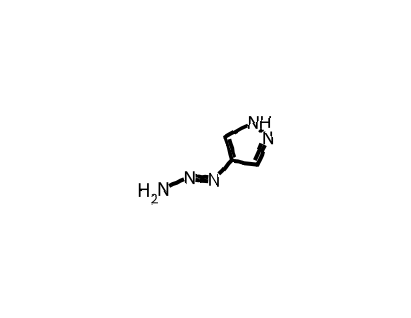 NN=Nc1cn[nH]c1